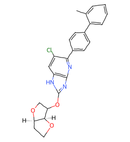 Cc1ccccc1-c1ccc(-c2nc3nc(OC4CO[C@@H]5CCO[C@H]45)[nH]c3cc2Cl)cc1